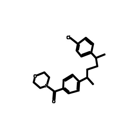 CC(CCC(C)c1ccc(C(=O)N2CCOCC2)cc1)c1ccc(Cl)cc1